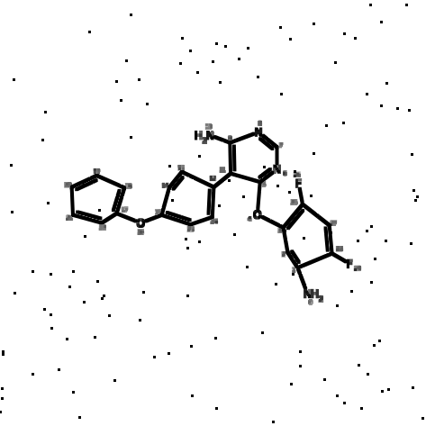 Nc1cc(Oc2ncnc(N)c2-c2ccc(Oc3ccccc3)cc2)c(F)cc1F